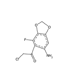 Nc1cc2c(c(F)c1C(=O)CCl)OCO2